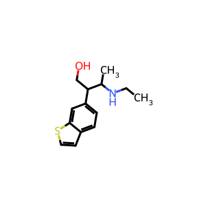 CCNC(C)C(CO)c1ccc2ccsc2c1